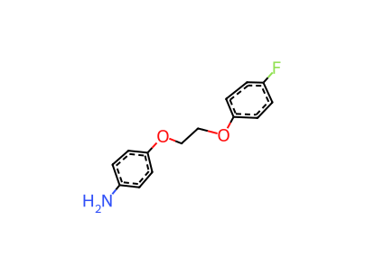 Nc1ccc(OCCOc2ccc(F)cc2)cc1